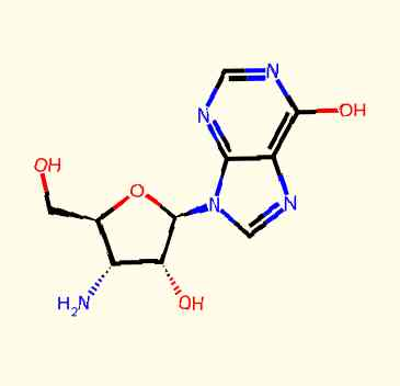 N[C@H]1[C@@H](O)[C@H](n2cnc3c(O)ncnc32)O[C@@H]1CO